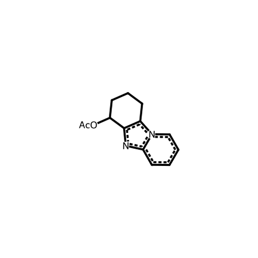 CC(=O)OC1CCCc2c1nc1ccccn21